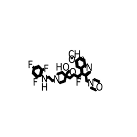 COc1ccc2ncc(CN3CCOCC3)c([C@@H](F)CCC3(C(=O)O)CCN(CCNc4c(F)cc(F)cc4F)CC3)c2c1